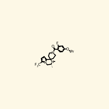 CC(C)Oc1ccc(C(=O)N2CCC3(CC2)c2ccc(C(F)(F)F)n2C[C@@H](C)N3C)c(F)c1